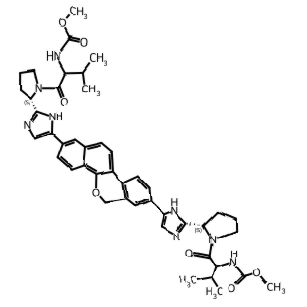 COC(=O)NC(C(=O)N1CCC[C@H]1c1ncc(-c2ccc3c(c2)COc2c-3ccc3cc(-c4cnc([C@@H]5CCCN5C(=O)C(NC(=O)OC)C(C)C)[nH]4)ccc23)[nH]1)C(C)C